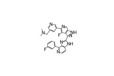 CN(C)Cc1cncc(-c2ncc3[nH]nc(-c4nc5c(-c6cccc(F)c6)nccc5[nH]4)c3c2F)c1